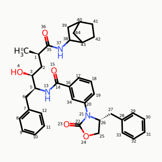 C[C@H](C[C@H](O)[C@H](Cc1ccccc1)NC(=O)c1cccc(N2C(=O)OC[C@H]2Cc2ccccc2)c1)C(=O)NC1CC2CCC1C2